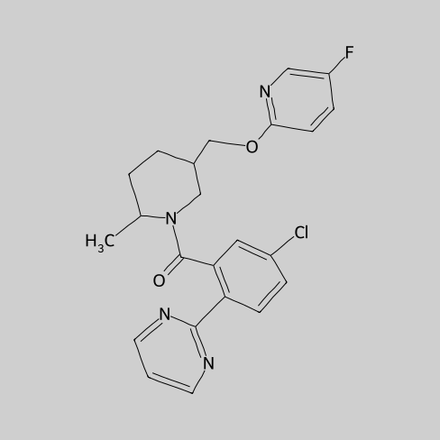 CC1CCC(COc2ccc(F)cn2)CN1C(=O)c1cc(Cl)ccc1-c1ncccn1